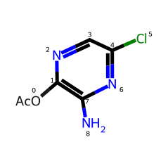 CC(=O)Oc1ncc(Cl)nc1N